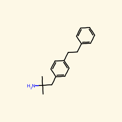 CC(C)(N)Cc1ccc(CCc2ccccc2)cc1